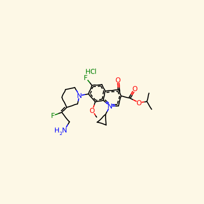 COc1c(N2CCC/C(=C(\F)CN)C2)c(F)cc2c(=O)c(C(=O)OC(C)C)cn(C3CC3)c12.Cl